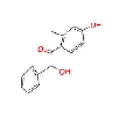 Cc1cc(O)ccc1C(=O)C(O)c1ccccc1